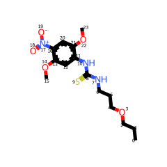 CCCOCCCNC(=S)Nc1cc(OC)c([N+](=O)[O-])cc1OC